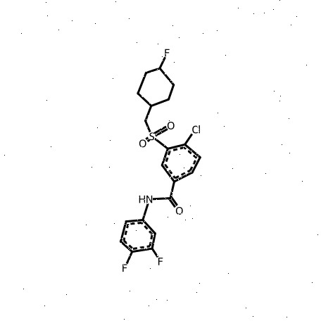 O=C(Nc1ccc(F)c(F)c1)c1ccc(Cl)c(S(=O)(=O)CC2CCC(F)CC2)c1